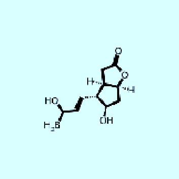 BC(O)/C=C/[C@@H]1[C@H]2CC(=O)O[C@H]2C[C@H]1O